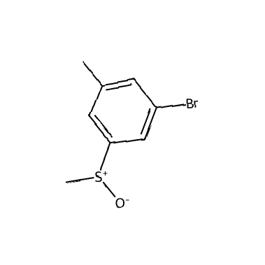 Cc1cc(Br)cc([S+](C)[O-])c1